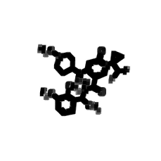 Cc1c(C(C)NC(=O)c2cn(C3(C(F)F)CC3)c(=O)cc2NC2CCN(C)CC2)cccc1C(F)(F)F